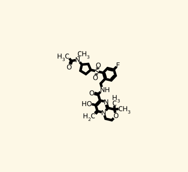 C=C1C(O)=C(C(=O)NCc2ccc(F)cc2S(=O)(=O)C2CCC(N(C)C(C)=O)C2)N=C2N1CCOC2(C)C